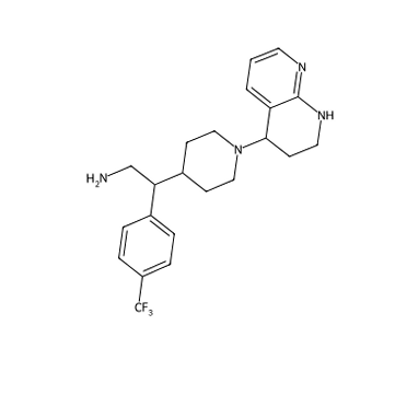 NCC(c1ccc(C(F)(F)F)cc1)C1CCN(C2CCNc3ncccc32)CC1